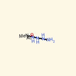 CNC(CCC(=O)NCCCNCCCCNCCCN)C(C)=O